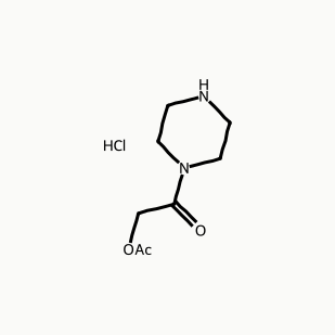 CC(=O)OCC(=O)N1CCNCC1.Cl